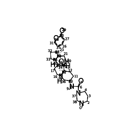 CN1CCCN(C(=O)N(C)[C@H]2CC[C@@]3(C)[C@H](CC[C@@H]4[C@@H]3CC[C@]3(C)[C@@H](c5ccc(=O)oc5)CC[C@]43O)C2)CC1